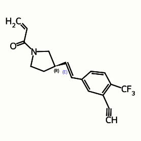 C#Cc1cc(/C=C/[C@H]2CCN(C(=O)C=C)C2)ccc1C(F)(F)F